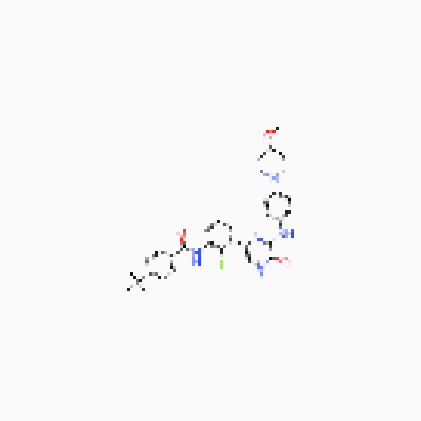 COC1CCN(c2ccc(Nc3nc(-c4cccc(NC(=O)c5ccc(C(C)(C)C)cc5)c4F)cn(C)c3=O)cc2)CC1